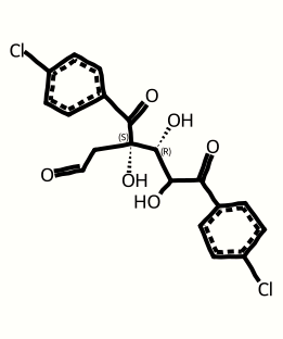 O=CC[C@@](O)(C(=O)c1ccc(Cl)cc1)[C@H](O)C(O)C(=O)c1ccc(Cl)cc1